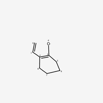 C=CC1=C([O])CCCC1